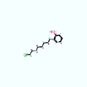 Oc1ccccc1CCCCCCCCCl